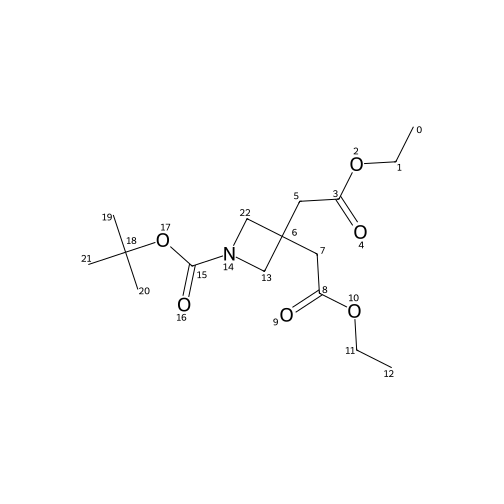 CCOC(=O)CC1(CC(=O)OCC)CN(C(=O)OC(C)(C)C)C1